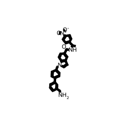 CC(NC(=O)c1ccc2c(ccn2Cc2ccc(-c3cccc(CN)c3)cc2)c1)c1ccc([N+](=O)[O-])cc1